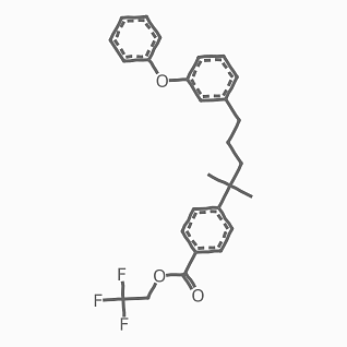 CC(C)(CCCc1cccc(Oc2ccccc2)c1)c1ccc(C(=O)OCC(F)(F)F)cc1